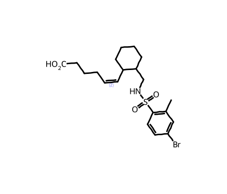 Cc1cc(Br)ccc1S(=O)(=O)NCC1CCCCC1/C=C\CCCC(=O)O